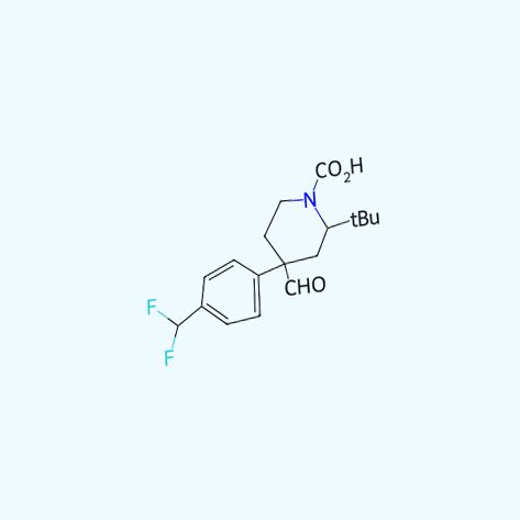 CC(C)(C)C1CC(C=O)(c2ccc(C(F)F)cc2)CCN1C(=O)O